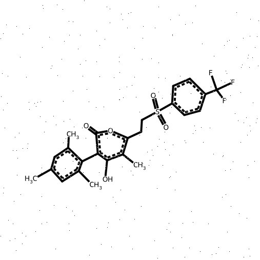 Cc1cc(C)c(-c2c(O)c(C)c(CCS(=O)(=O)c3ccc(C(F)(F)F)cc3)oc2=O)c(C)c1